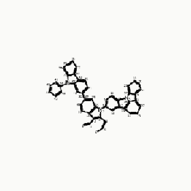 C=Cc1c(/C=C\C)n(-c2ccc3c(c2)c2cccc4c5ccccc5n3c42)c2cc(-c3ccc4c5ccccc5n(-c5ccccc5)c4c3)ccc12